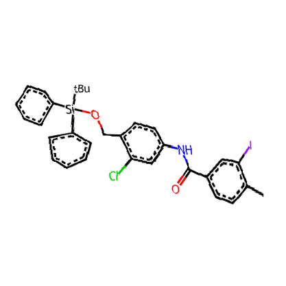 Cc1ccc(C(=O)Nc2ccc(CO[Si](c3ccccc3)(c3ccccc3)C(C)(C)C)c(Cl)c2)cc1I